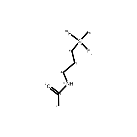 CC(=O)NCCC[Si](C)(F)F